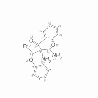 CCC(Oc1ccccc1)C(N)(C(N)=O)C(=O)c1ccccc1